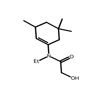 CCN(C(=O)CO)C1=CC(C)CC(C)(C)C1